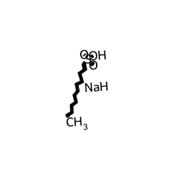 CCCCCCCCCCC=CS(=O)(=O)O.[NaH]